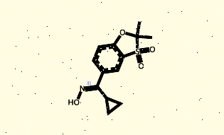 CC1(C)Oc2ccc(/C(=N/O)C3CC3)cc2S1(=O)=O